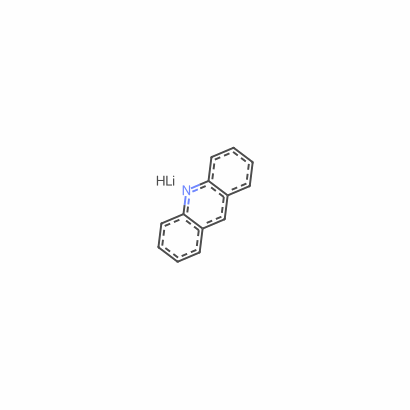 [LiH].c1ccc2nc3ccccc3cc2c1